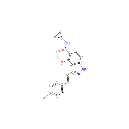 COc1c(C(=O)NC2CC2)ccc2[nH]nc(C=Cc3ccc(F)cc3)c12